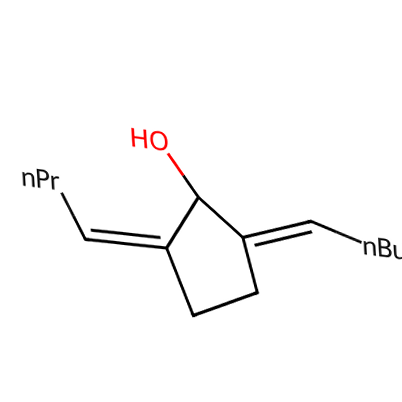 CCCC=C1CCC(=CCCCC)C1O